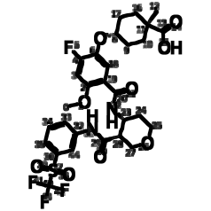 COc1cc(F)c(O[C@H]2CC[C@@](C)(C(=O)O)CC2)cc1C(=O)N[C@H]1CCOC[C@H]1C(=O)Nc1cccc(S(=O)(=O)C(F)(F)F)c1